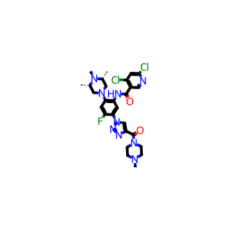 C[C@@H]1CN(c2cc(F)c(-n3cc(C(=O)N4CCN(C)CC4)nn3)cc2NC(=O)c2cnc(Cl)cc2Cl)C[C@H](C)N1C